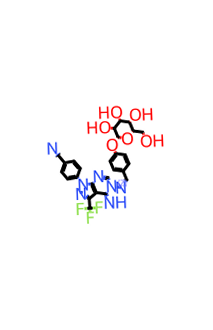 N#Cc1ccc(-n2nc(C(F)(F)F)c3c(=N)n(/N=C\c4ccc(OC5OC(CO)C(O)C(O)C5O)cc4)cnc32)cc1